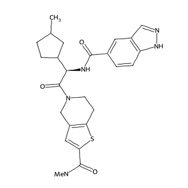 CNC(=O)c1cc2c(s1)CCN(C(=O)[C@H](NC(=O)c1ccc3[nH]ncc3c1)C1CCC(C)C1)C2